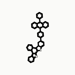 C1=C(c2ccc(-c3c4ccccc4c(-c4ccccc4)c4ccccc34)cc2)CC2C(=C1)Sc1c2c2ccccc2c2c1oc1ccccc12